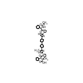 COC(=O)N[C@@H](C(=O)N1CCC[C@H]1c1nc(-c2ccc(-c3ccc(-c4nc([C@@H]5CCCN5C(=O)[C@@H](c5ccccc5)N(C)C(=O)O)[nH]c4C)cc3)cc2)c[nH]1)c1ccccc1